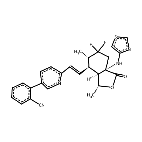 C[C@H]1OC(=O)[C@]2(Nc3cscn3)CC(F)(F)[C@@H](C)[C@H](/C=C/c3ccc(-c4ccccc4C#N)cn3)[C@H]12